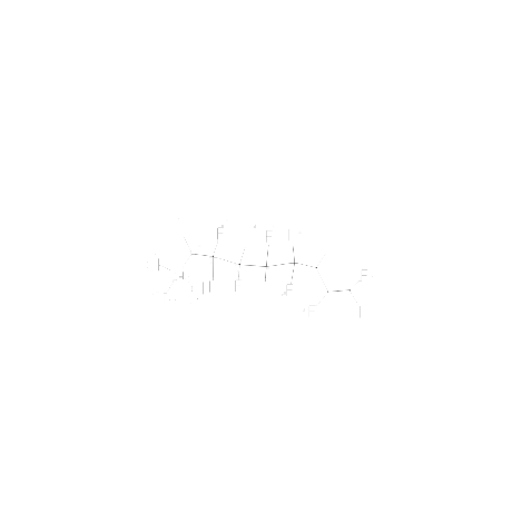 FC(F)C(F)C(F)C(F)(F)C(F)(F)C(F)(F)C(F)(F)C(F)[Si](Cl)(Cl)Cl